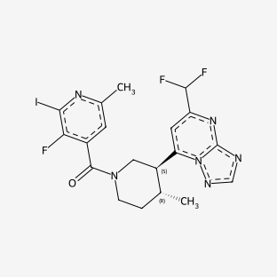 Cc1cc(C(=O)N2CC[C@@H](C)[C@H](c3cc(C(F)F)nc4ncnn34)C2)c(F)c(I)n1